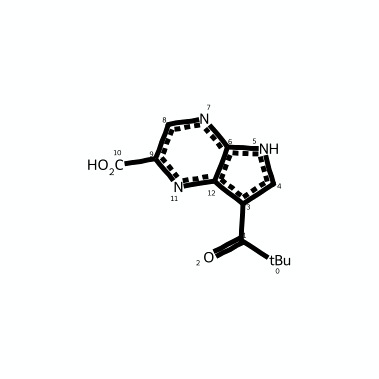 CC(C)(C)C(=O)c1c[nH]c2ncc(C(=O)O)nc12